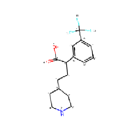 O=C(O)C(CCC1CCNCC1)c1cccc(C(F)(F)F)c1